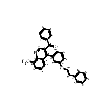 O=C(c1ccccc1)c1cnc2c(C(F)(F)F)cccc2c1-c1cccc(OCCc2ccccc2)c1